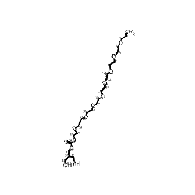 C=CCOCCOCCOCCOCCOCCOCCOCCOCCOC(=O)OCC(CO)CO